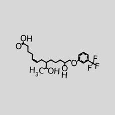 CC(O)C(C/C=C\CCCC(=O)O)CCCC(O)COc1cccc(C(F)(F)F)c1